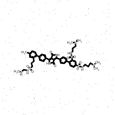 CNCNS(=O)(=O)CCCc1cc(C)ccc1-c1ccc(C2=C3C(=O)NC(c4ccc(-c5ccc(S(=O)(=O)NCCCN(C)C)cc5S(=O)(=O)NCCCN(C)C)cc4)=C3C(=O)N2)cc1